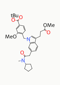 COC(=O)CCc1cn(Cc2ccc(C(=O)OC(C)(C)C)cc2OC)c2cc(CC(=O)N(C)C3CCCC3)ccc12